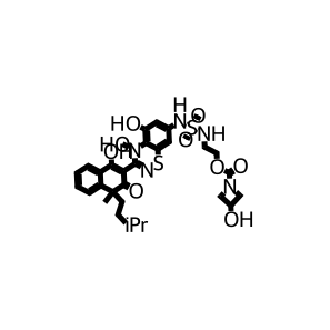 CC(C)CCC1(C)C(=O)C(C2=NSc3cc(NS(=O)(=O)NCCOC(=O)N4CC(O)C4)cc(O)c3N2O)=C(O)c2ccccc21